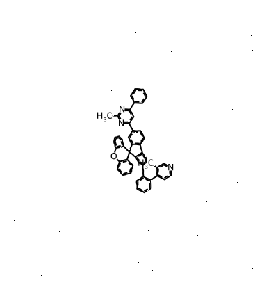 Cc1nc(-c2ccccc2)cc(-c2ccc3c(c2)C2(c4ccccc4Oc4ccccc42)c2cc(-c4ccccc4-c4ccncc4C)ccc2-3)n1